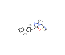 CCCCc1nc(C)n(Cc2nccs2)c(=O)c1Cc1ccc(-c2ccccc2C#N)cc1